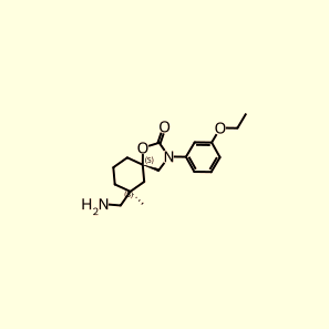 CCOc1cccc(N2C[C@@]3(CCC[C@](C)(CN)C3)OC2=O)c1